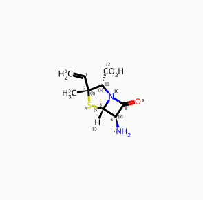 C=C[C@@]1(C)S[C@H]2[C@H](N)C(=O)N2[C@H]1C(=O)O